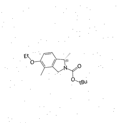 CCOc1ccc2c(c1C)CN(C(=O)OC(C)(C)C)[C@H]2C